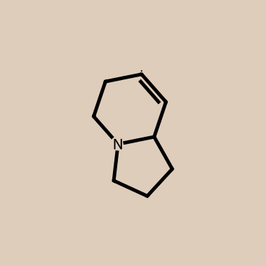 [C]1=CC2CCCN2CC1